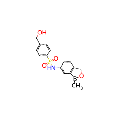 CB1OCc2ccc(NS(=O)(=O)c3ccc(CO)cc3)cc21